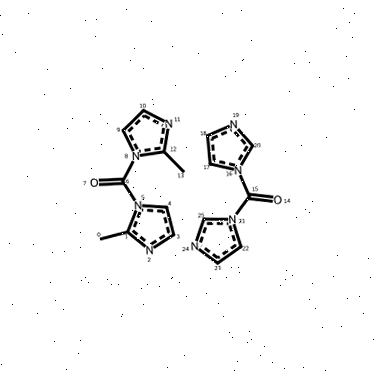 Cc1nccn1C(=O)n1ccnc1C.O=C(n1ccnc1)n1ccnc1